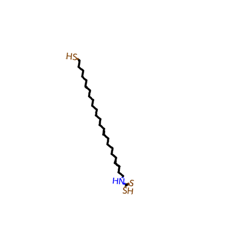 S=C(S)NCCCCCCCCCCCCCCCCCCCCCCCCCS